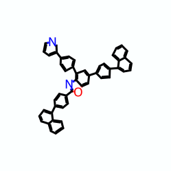 c1cncc(-c2ccc(-c3cc(-c4ccc(-c5cccc6ccccc56)cc4)cc4oc(-c5ccc(-c6cccc7ccccc67)cc5)nc34)cc2)c1